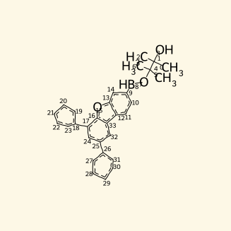 CC(C)(O)C(C)(C)OBc1ccc2c(c1)oc1c(-c3ccccc3)cc(-c3ccccc3)cc12